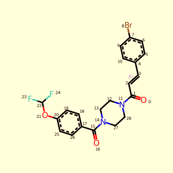 O=C(/C=C/c1ccc(Br)cc1)N1CCN(C(=O)c2ccc(OC(F)F)cc2)CC1